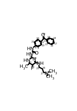 CC1NC(NC(=O)Nc2ccc(C(=O)c3ccccc3)cc2)N=C(NCCCN(C)C)C1F